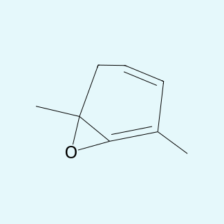 CC1=C2OC2(C)CC=C1